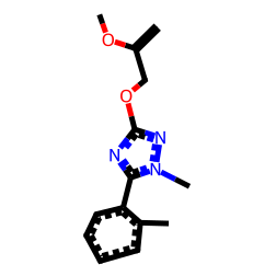 C=C(COc1nc(-c2ccccc2C)n(C)n1)OC